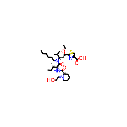 CCCCCCN(C(=O)[C@@H](NC(=O)[C@H]1CCCCN1CCO)[C@@H](C)CC)[C@H](C[C@@H](OCC)c1nc(C(=O)O)cs1)C(C)C